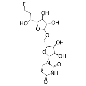 O=c1ccn([C@@H]2O[C@H](COC3O[C@H](C(O)CCF)[C@@H](O)[C@@H]3O)[C@@H](O)[C@H]2O)c(=O)[nH]1